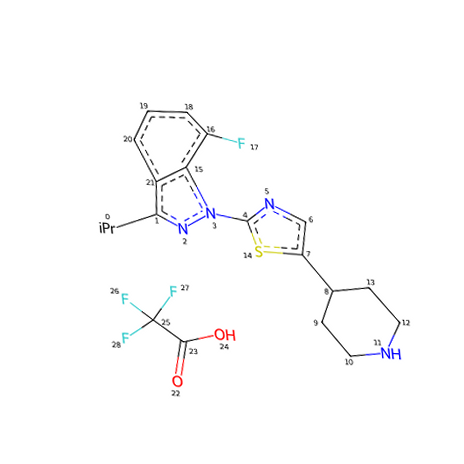 CC(C)c1nn(-c2ncc(C3CCNCC3)s2)c2c(F)cccc12.O=C(O)C(F)(F)F